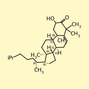 CC(C)CCC[C@@H](C)[C@H]1CC[C@H]2[C@@H]3CC=C4C(C)(C)C(=O)C(O)C[C@]4(C)[C@H]3CC[C@]12C